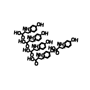 N[C@@H](Cc1ccc(O)cc1)C(=O)O.N[C@@H](Cc1ccc(O)cc1)C(=O)O.N[C@@H](Cc1ccc(O)cc1)C(=O)O.N[C@@H](Cc1ccc(O)cc1)C(=O)O.N[C@@H](Cc1ccc(O)cc1)C(=O)O